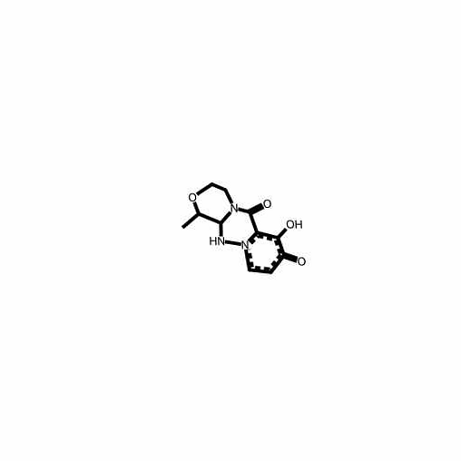 CC1OCCN2C(=O)c3c(O)c(=O)ccn3NC12